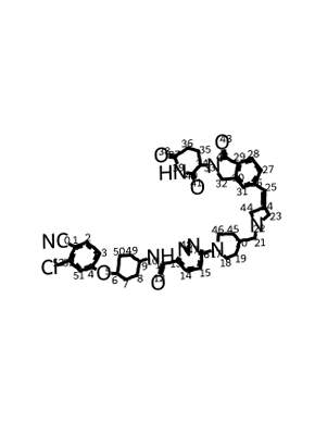 N#Cc1ccc(OC2CCC(NC(=O)c3ccc(N4CCC(CN5CC(=Cc6ccc7c(c6)CN(C6CCC(=O)NC6=O)C7=O)C5)CC4)nn3)CC2)cc1Cl